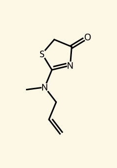 C=CCN(C)C1=NC(=O)CS1